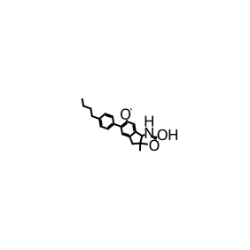 CCCCc1ccc(-c2cc3c(cc2OC)C(NC(=O)O)C(C)(C)C3)cc1